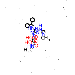 CCNC(=O)[C@H]1O[C@@H](On2cnc3c(NCC(c4ccccc4)c4ccccc4)nc(NC4CCN(CC)C4)nc32)[C@H](O)[C@@H]1O